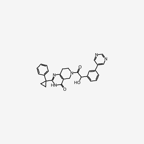 O=C(C(O)c1cccc(-c2cncnc2)c1)N1CCc2nc(C3(c4ccccc4)CC3)[nH]c(=O)c2C1